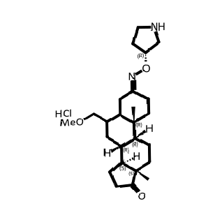 COCC1C[C@@H]2[C@@H](CC[C@]3(C)C(=O)CC[C@@H]23)[C@@]2(C)CCC(=NO[C@@H]3CCNC3)CC12.Cl